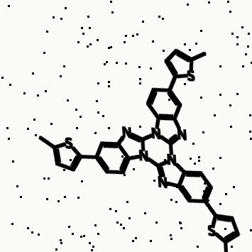 Cc1ccc(-c2ccc3c(c2)nc2n3c3nc4cc(-c5ccc(C)s5)ccc4n3c3nc4cc(-c5ccc(C)s5)ccc4n23)s1